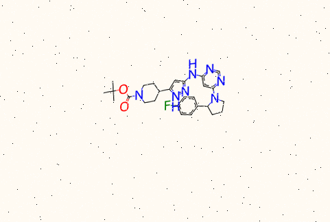 CC(C)(C)OC(=O)N1CCC(c2cc(Nc3cc(N4CCCC4c4ccc(F)cc4)ncn3)n[nH]2)CC1